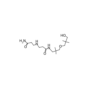 CC(C)(CO)COCC(C)(C)CNC(=O)CCNCCC(N)=O